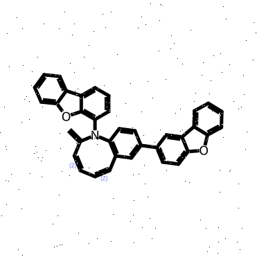 C=C1/C=C\C=C/c2cc(-c3ccc4oc5ccccc5c4c3)ccc2N1c1cccc2c1oc1ccccc12